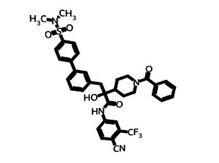 CN(C)S(=O)(=O)c1ccc(-c2cccc(CC(O)(C(=O)Nc3ccc(C#N)c(C(F)(F)F)c3)C3CCN(C(=O)c4ccccc4)CC3)c2)cc1